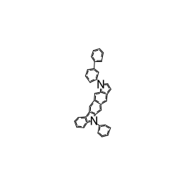 c1ccc(-c2cccc(-n3ccc4cc5cc6c(cc5cc43)c3ccccc3n6-c3ccccc3)c2)cc1